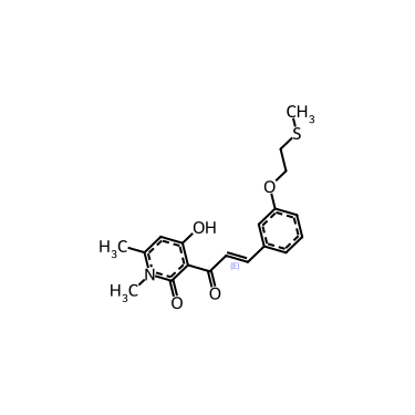 CSCCOc1cccc(/C=C/C(=O)c2c(O)cc(C)n(C)c2=O)c1